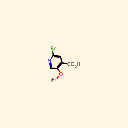 CC(C)Oc1cnc(Br)cc1C(=O)O